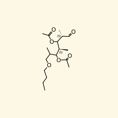 CCCCOCC(C)C(OC(C)=O)[C@H](C)C(OC(C)=O)[C@H](C)C=O